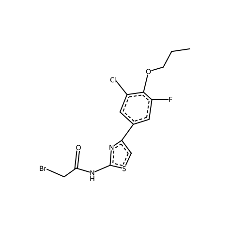 CCCOc1c(F)cc(-c2csc(NC(=O)CBr)n2)cc1Cl